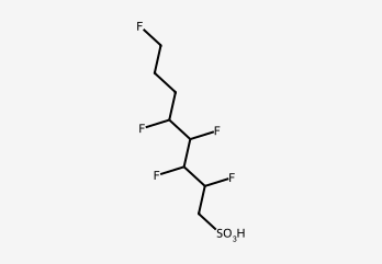 O=S(=O)(O)CC(F)C(F)C(F)C(F)CCCF